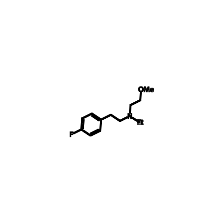 CCN(CCOC)CCc1ccc(F)cc1